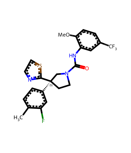 COc1ccc(C(F)(F)F)cc1NC(=O)N1CC[C@@](c2ccc(C)c(F)c2)(c2nccs2)C1